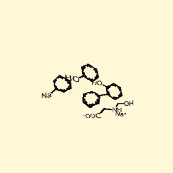 O=C([O-])CNCO.Oc1ccccc1.Oc1ccccc1-c1ccccc1.[Na+].[Na][c]1ccccc1